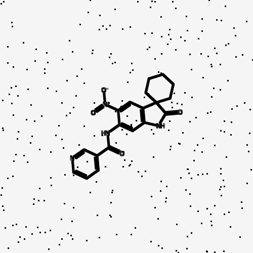 O=C(Nc1cc2c(cc1[N+](=O)[O-])C1(CCCCC1)C(=O)N2)c1cccnc1